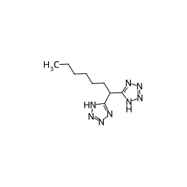 CCCCCCC(c1nnn[nH]1)c1nnn[nH]1